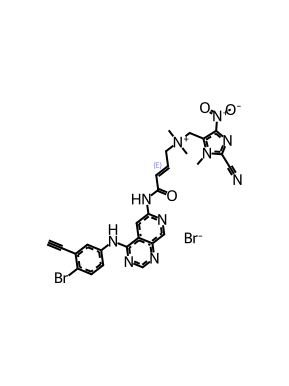 C#Cc1cc(Nc2ncnc3cnc(NC(=O)/C=C/C[N+](C)(C)Cc4c([N+](=O)[O-])nc(C#N)n4C)cc23)ccc1Br.[Br-]